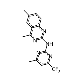 Cc1ccc2nc(Nc3nc(C)cc(C(F)(F)F)n3)nc(C)c2c1